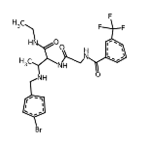 CCNC(=O)C(NC(=O)CNC(=O)c1cccc(C(F)(F)F)c1)C(C)NCc1ccc(Br)cc1